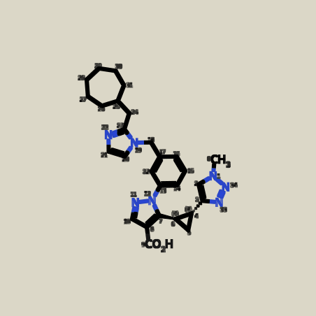 Cn1cc([C@@H]2C[C@H]2c2c(C(=O)O)cnn2-c2cccc(Cn3ccnc3CC3CCCCCC3)c2)nn1